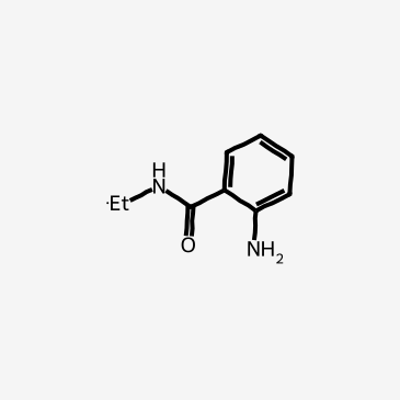 C[CH]NC(=O)c1ccccc1N